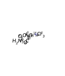 C[C@@H]1OC(=O)[C@@H](N)COCC[C@H]1OC/C=C/C(F)(F)F